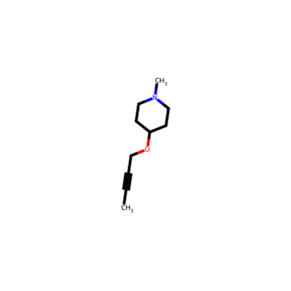 CC#CCOC1CCN(C)CC1